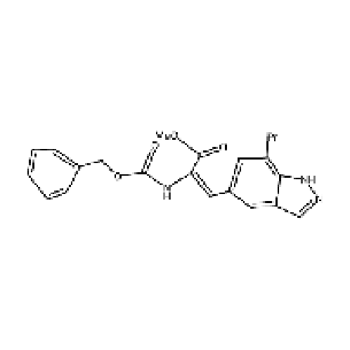 COC(=O)/C(=C\c1cc(C(C)C)c2[nH]ncc2c1)NC(=O)OCc1ccccc1